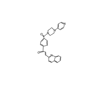 O=C(C=Cc1ccc2ccccc2n1)c1ccc(C(=O)N2CCN(c3ccncc3)CC2)cc1